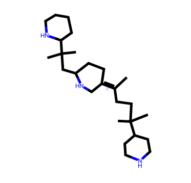 C/C(CCC(C)(C)C1CCNCC1)=C1\CCC(CC(C)(C)C2CCCCN2)NC1